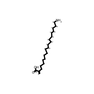 C=C(CCCCCCCCCCCCCCCCCCN)C(=O)O